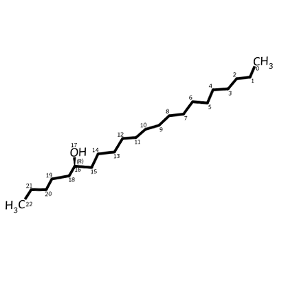 CCCCCCCCCCCCCCCC[C@H](O)CCCCC